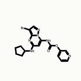 O=C(Nc1cc(NC2CCCC2)nc2c(Br)cnn12)Oc1cccnc1